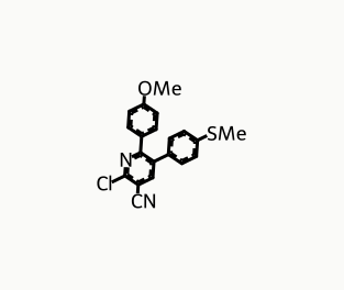 COc1ccc(-c2nc(Cl)c(C#N)cc2-c2ccc(SC)cc2)cc1